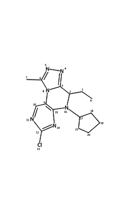 CCC1c2nnc(C)n2-c2cnc(Cl)nc2N1C1CCCC1